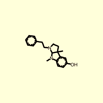 CN1c2ccc(O)cc2C2(C)CCN(CCc3ccccc3)C12